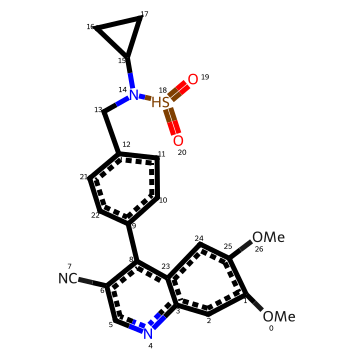 COc1cc2ncc(C#N)c(-c3ccc(CN(C4CC4)[SH](=O)=O)cc3)c2cc1OC